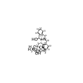 CC(C)(CC[C@H](CO)N(Cc1ccccc1)Cc1ccccc1)[Si](C)(C)O